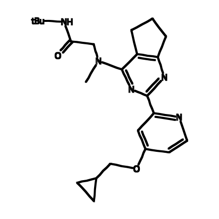 CN(CC(=O)NC(C)(C)C)c1nc(-c2cc(OCC3CC3)ccn2)nc2c1CCC2